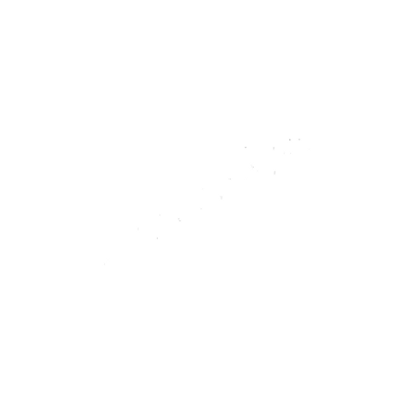 CCCCCCCCCCCCOC(=O)CCOP